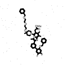 COC(=O)Cc1c(C)c(C)c2nc(-c3cccc(-c4cc(F)c(F)cc4OCc4ccccc4)c3)c(C)n2c1N1CCC(C)(OCCOCCOCc2ccccc2)CC1